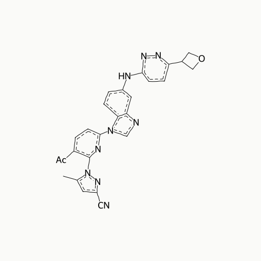 CC(=O)c1ccc(-n2cnc3cc(Nc4ccc(C5COC5)nn4)ccc32)nc1-n1nc(C#N)cc1C